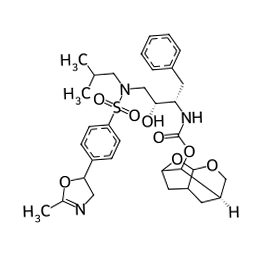 CC1=NCC(c2ccc(S(=O)(=O)N(CC(C)C)C[C@@H](O)[C@H](Cc3ccccc3)NC(=O)OC3C4CC5C[C@@H]3COC5O4)cc2)O1